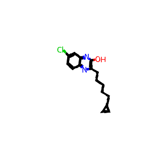 Oc1nc2cc(Cl)ccc2nc1CCCCCC1CC1